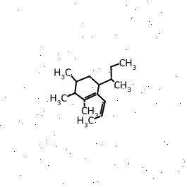 C/C=C\C1=C(C)C(C)C(C)CC1C(C)CC